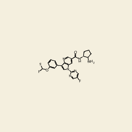 NC1CCC[C@@H]1NC(=O)c1cnc2c(-c3cccc(OC(F)F)c3)cn(-c3ncc(F)cn3)c2c1